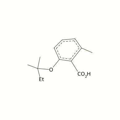 CCC(C)(C)Oc1cccc(C)c1C(=O)O